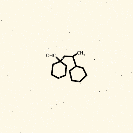 CC(CC1(C=O)CCCCC1)C1CCCCC1